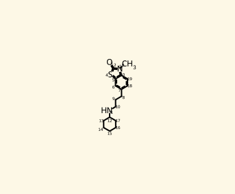 Cn1c(=O)sc2cc(CCCNC3CCCCC3)ccc21